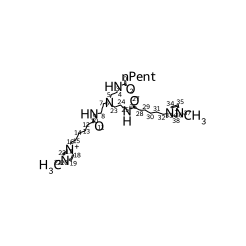 CCCCCC(=O)NCCN(CCNC(=O)CCCCC[n+]1ccn(C)c1)CCNC(=O)CCCCC[n+]1ccn(C)c1